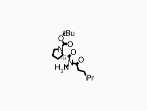 CC(C)CCC(=O)N(N)C(=O)[C@@H]1CCCN1C(=O)OC(C)(C)C